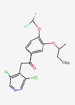 COCC(C)Oc1cc(C(=O)Cc2c(Cl)cncc2Cl)ccc1OC(F)F